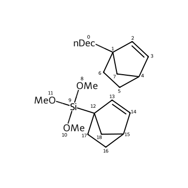 CCCCCCCCCCC12C=CC(CC1)C2.CO[Si](OC)(OC)C12C=CC(CC1)C2